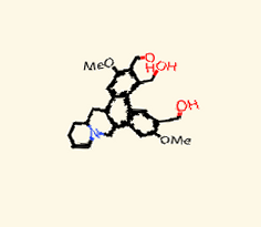 COc1cc2c3c(c4cc(OC)c(CO)c(CO)c4c2cc1CO)CC1CCCCN1C3